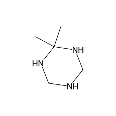 CC1(C)NCNCN1